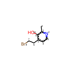 Cc1nccc(CCBr)c1O